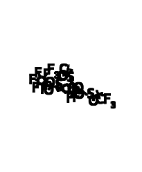 CC(C)(C(=O)SCCOP(=O)(OCCSC(=O)C(C)(C)C(F)(F)F)C(F)(F)c1ccc2sc(C(=O)Oc3c(F)c(F)c(F)c(F)c3F)cc2c1)C(F)(F)F